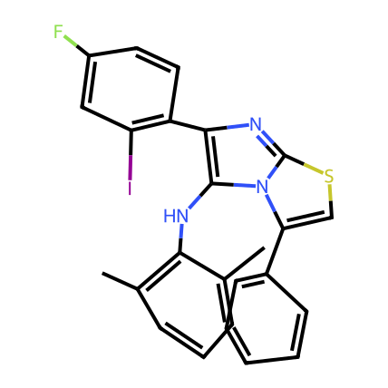 Cc1cccc(C)c1Nc1c(-c2ccc(F)cc2I)nc2scc(-c3ccccc3)n12